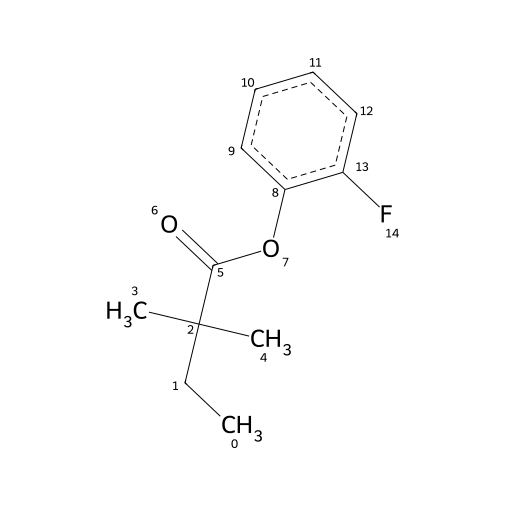 CCC(C)(C)C(=O)Oc1ccccc1F